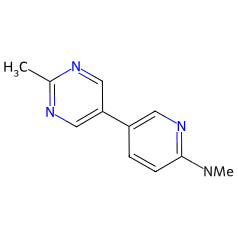 CNc1ccc(-c2cnc(C)nc2)cn1